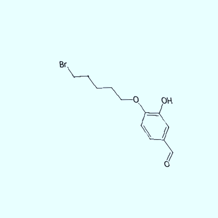 O=Cc1ccc(OCCCCCBr)c(O)c1